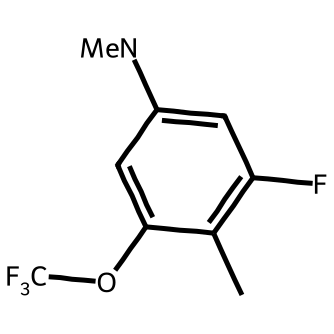 CNc1cc(F)c(C)c(OC(F)(F)F)c1